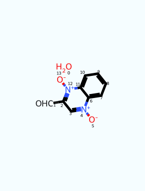 O.O=Cc1c[n+]([O-])c2ccccc2[n+]1[O-]